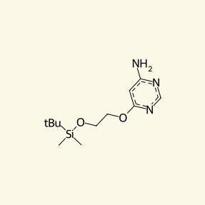 CC(C)(C)[Si](C)(C)OCCOc1cc(N)ncn1